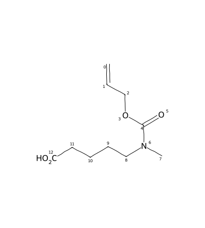 C=CCOC(=O)N(C)CCCCC(=O)O